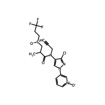 C#CCN(C(=O)C(C)C[S+]([O-])CCC(F)(F)F)c1cn(-c2ccc[n+]([O-])c2)nc1Cl